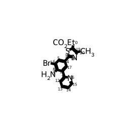 CCOC(=O)c1sc(-c2cc(Br)c(N)c(-c3ccccn3)c2)nc1C